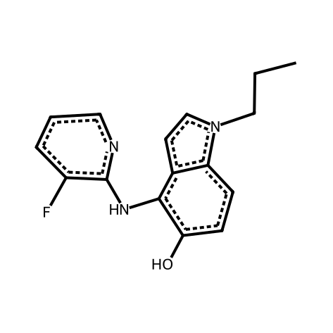 CCCn1ccc2c(Nc3ncccc3F)c(O)ccc21